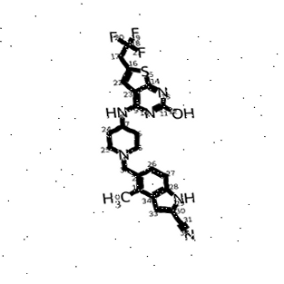 Cc1c(CN2CCC(Nc3nc(O)nc4sc(CC(F)(F)F)cc34)CC2)ccc2[nH]c(C#N)cc12